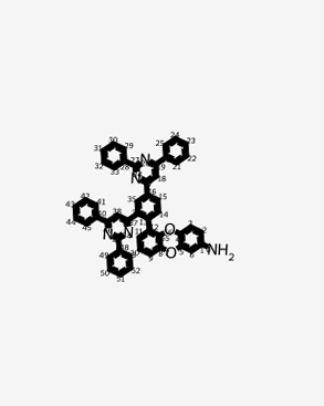 Nc1ccc2c(c1)Oc1cccc(-c3ccc(-c4cc(-c5ccccc5)nc(-c5ccccc5)n4)cc3-c3cc(-c4ccccc4)nc(-c4ccccc4)n3)c1O2